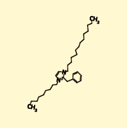 CCCCCCCCCCCCCCn1cc[n+](CCCCCCCCC)c1Cc1ccccc1